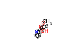 COc1cccc(C(O)(C=O)c2cnc3ccccc3c2)c1